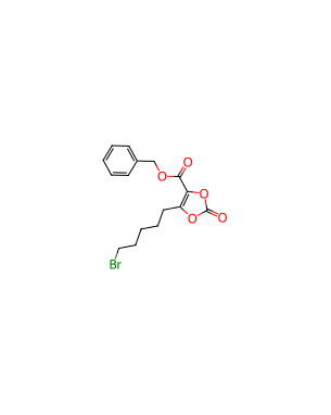 O=C(OCc1ccccc1)c1oc(=O)oc1CCCCCBr